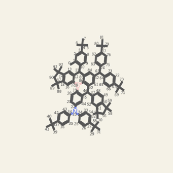 Cc1cc(C(C)(C)C)ccc1C1c2cc3c(cc2B2c4ccc(N(c5ccc(C(C)(C)C)cc5)c5ccc(C(C)(C)C)cc5)cc4C(c4ccc5c(c4)C(C)(C)CC5(C)C)c4cc(C(c5ccc(C(C)(C)C)cc5)c5ccc(C(C)(C)C)cc5)cc1c42)C(C)(C)CC3(C)C